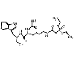 CCOP(=O)(CC(=O)NCCCCC(NC(=O)O)C(=O)NC(CO)Cc1c[nH]c2ccccc12)OCC